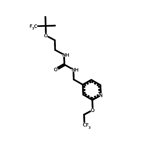 CC(C)(OCCNC(=O)NCc1ccnc(OCC(F)(F)F)c1)C(F)(F)F